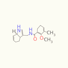 COC1=C(C(=O)NCC2=CN[C@H]3C=CCCC23)CCC=C1C